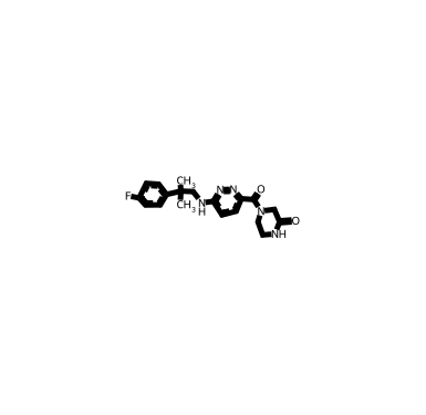 CC(C)(CNc1ccc(C(=O)N2CCNC(=O)C2)nn1)c1ccc(F)cc1